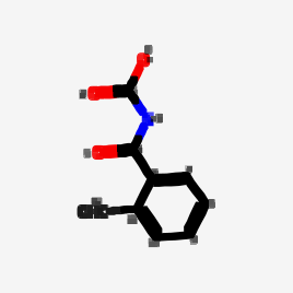 [O]C(=O)[N]C(=O)c1ccccc1C=O